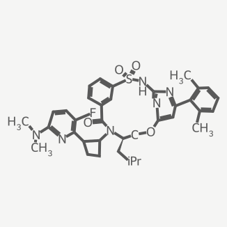 Cc1cccc(C)c1-c1cc2nc(n1)NS(=O)(=O)c1cccc(c1)C(=O)N(C1CCC1c1nc(N(C)C)ccc1F)[C@H](CC(C)C)CO2